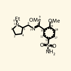 CCN1CCCC1C/N=C(\OC)c1cc(S(N)(=O)=O)ccc1OC